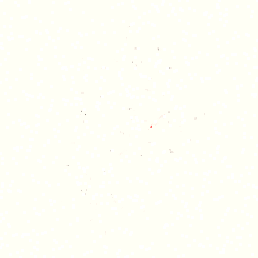 Cc1cccc(N(C)c2ccc(CN(C)C[C@H]3Oc4c(NC(=O)Cc5ccc(C(F)(F)F)cc5)cccc4C(=O)N(C(C)CO)C[C@H]3C)cc2)c1